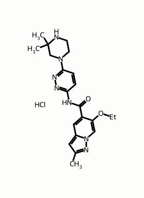 CCOc1cn2nc(C)cc2cc1C(=O)Nc1ccc(N2CCNC(C)(C)C2)nn1.Cl